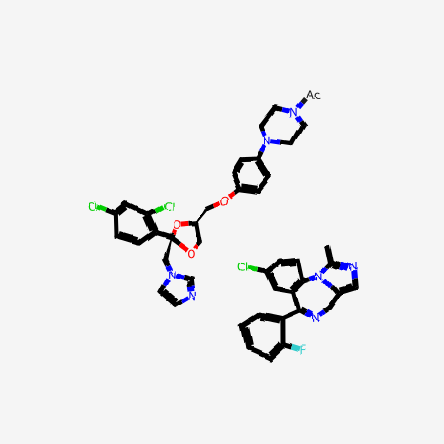 CC(=O)N1CCN(c2ccc(OC[C@H]3CO[C@](Cn4ccnc4)(c4ccc(Cl)cc4Cl)O3)cc2)CC1.Cc1ncc2n1-c1ccc(Cl)cc1C(c1ccccc1F)=NC2